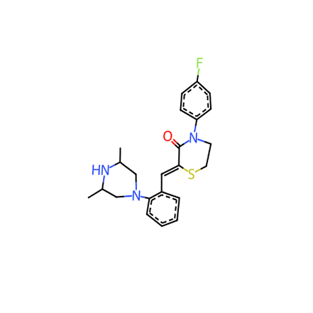 CC1CN(c2ccccc2/C=C2\SCCN(c3ccc(F)cc3)C2=O)CC(C)N1